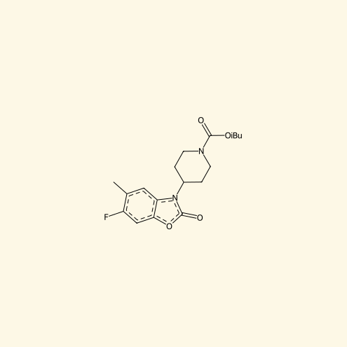 Cc1cc2c(cc1F)oc(=O)n2C1CCN(C(=O)OCC(C)C)CC1